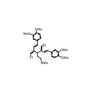 CC/C=C(/C=C/c1ccc(OC)c(OC)c1)C(CCNC)C(/C=C/c1ccc(OC)c(OC)c1)=C/CC